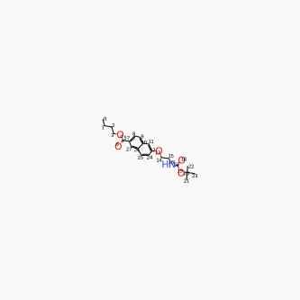 CCCCOC(=O)c1ccc2cc(OCCNC(=O)OC(C)(C)C)ccc2c1